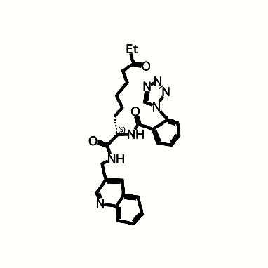 CCC(=O)CCCCC[C@H](NC(=O)c1ccccc1-n1cnnn1)C(=O)NCc1cnc2ccccc2c1